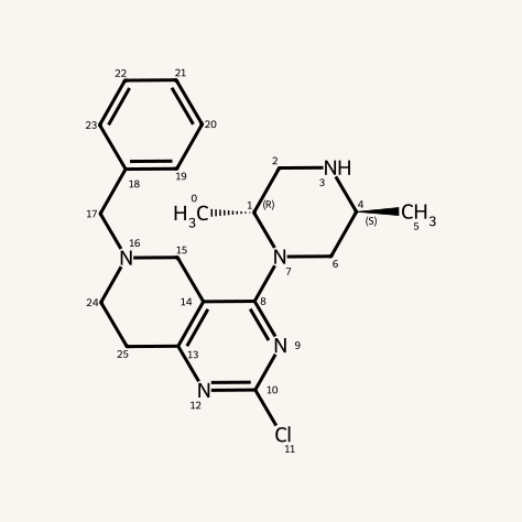 C[C@@H]1CN[C@@H](C)CN1c1nc(Cl)nc2c1CN(Cc1ccccc1)CC2